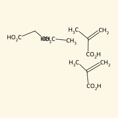 C=C(C)C(=O)O.C=C(C)C(=O)O.CC(=O)O.O=C(O)CO